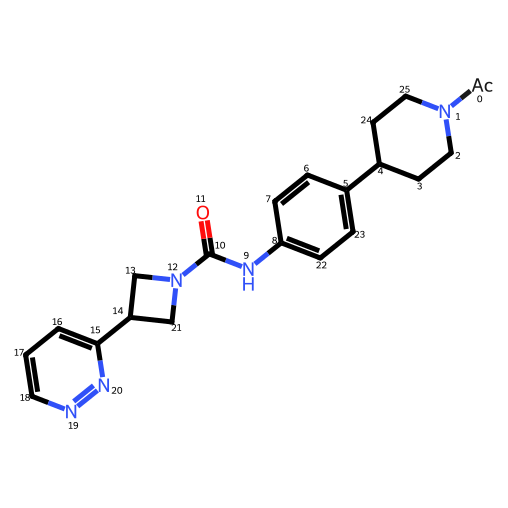 CC(=O)N1CCC(c2ccc(NC(=O)N3CC(c4cccnn4)C3)cc2)CC1